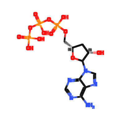 Nc1ncnc2c1ncn2C1O[C@H](COP(=O)(O)OP(=O)(O)OP(=O)(O)O)C[C@@H]1O